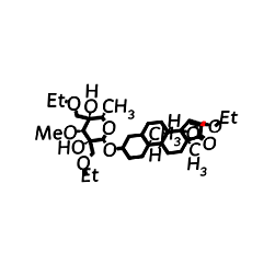 CCOCO[C@@]12C=CC(=O)[C@@]1(C)CC[C@@H]1[C@H]2CCC2CC(O[C@@H]3O[C@H](C)[C@](O)(COCC)[C@H](OC)[C@]3(O)COCC)CC[C@@]21C